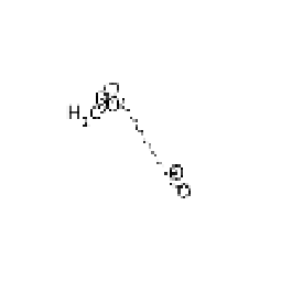 C=CC(=O)OC1(CCCCCCCCCCCCCCC(=O)Cc2ccccc2)CCCCC1